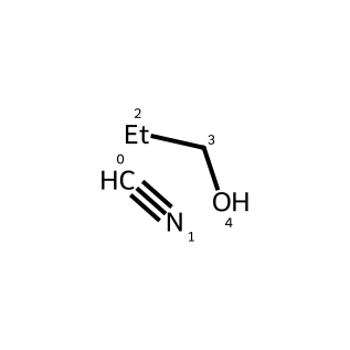 C#N.CCCO